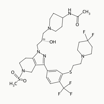 CC(=O)NC1CCN(C[C@H](O)Cn2nc(-c3ccc(C(F)(F)F)c(SCCN4CCC(F)(F)CC4)c3)c3c2CCN(S(C)(=O)=O)C3)CC1